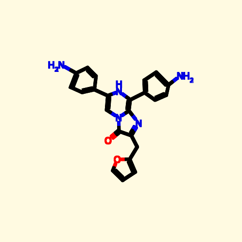 Nc1ccc(-c2cn3c(=O)c(Cc4ccco4)nc-3c(-c3ccc(N)cc3)[nH]2)cc1